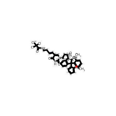 COc1ccccc1C(c1ccccc1)(c1ccccc1OC)C(O)[C@H]1O[C@@H](n2cc(/C=C/CCNC(=O)C(Cl)(Cl)Cl)c(=O)[nH]c2=O)C[C@@H]1O